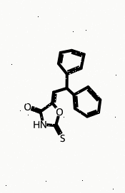 O=C1NC(=S)OC1=CC(c1ccccc1)c1ccccc1